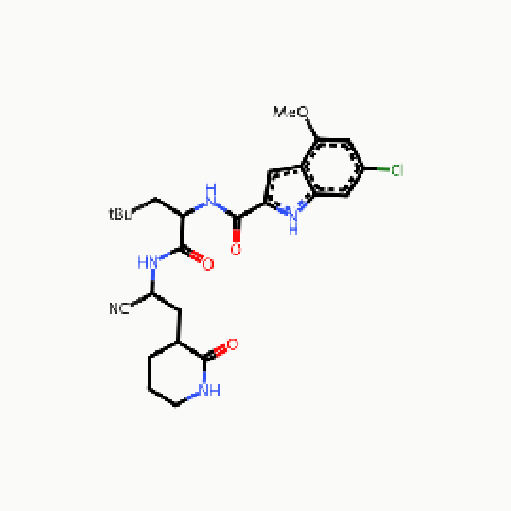 COc1cc(Cl)cc2[nH]c(C(=O)NC(CC(C)(C)C)C(=O)NC(C#N)CC3CCCNC3=O)cc12